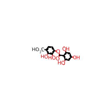 O=C(O)c1ccc(OC(=O)c2c(O)cc(O)cc2O)c(O)c1O